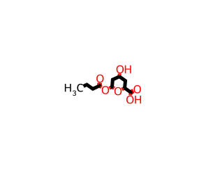 CCCC(=O)OC1CC(O)CC(C(=O)O)O1